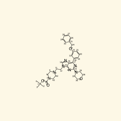 CC(C)(C)OC(=O)N1CCN(CCn2cnc3c(-c4cccc(OCc5ccccc5)c4)nc(N4CCOCC4)nc32)CC1